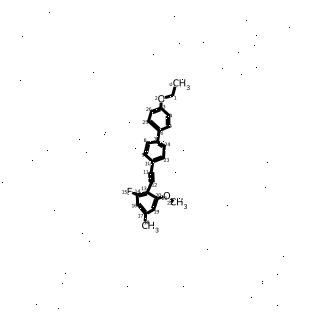 CCOc1ccc(-c2ccc(C#Cc3c(F)cc(C)cc3OC)cc2)cc1